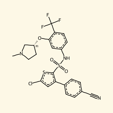 CN1CC[C@@H](Oc2cc(NS(=O)(=O)c3sc(Cl)cc3-c3ccc(C#N)cc3)ccc2C(F)(F)F)C1